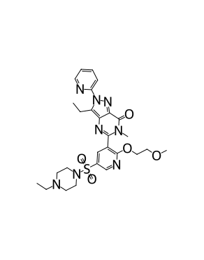 CCc1c2nc(-c3cc(S(=O)(=O)N4CCN(CC)CC4)cnc3OCCOC)n(C)c(=O)c2nn1-c1ccccn1